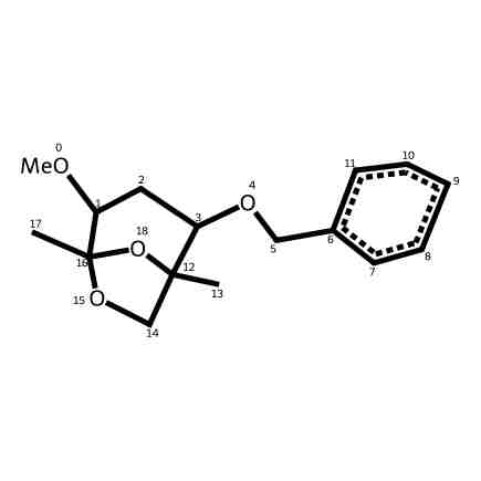 COC1CC(OCc2ccccc2)C2(C)COC1(C)O2